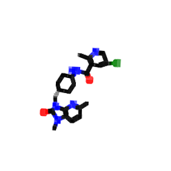 Cc1ccc2c(n1)n(C[C@H]1CC[C@H](NC(=O)c3cc(Cl)cnc3C)CC1)c(=O)n2C